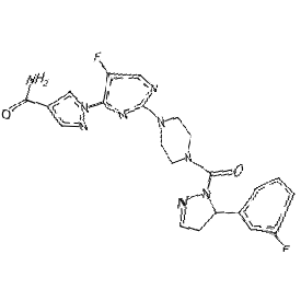 NC(=O)c1cnn(-c2nc(N3CCN(C(=O)N4N=CCC4c4cccc(F)c4)CC3)ncc2F)c1